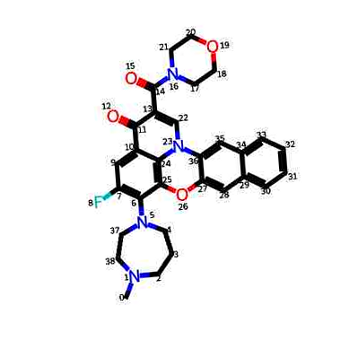 CN1CCCN(c2c(F)cc3c(=O)c(C(=O)N4CCOCC4)cn4c3c2Oc2cc3ccccc3cc2-4)CC1